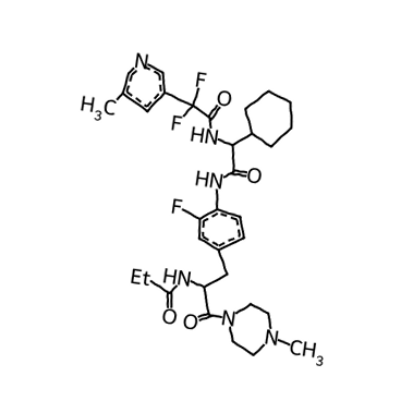 CCC(=O)NC(Cc1ccc(NC(=O)C(NC(=O)C(F)(F)c2cncc(C)c2)C2CCCCC2)c(F)c1)C(=O)N1CCN(C)CC1